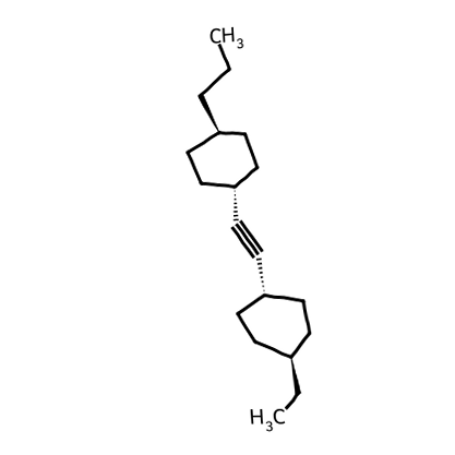 CCC[C@H]1CC[C@H](C#C[C@H]2CC[C@H](CC)CC2)CC1